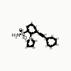 NS(=O)(=O)c1cccc(C#Cc2ccccc2)c1-n1cccc1